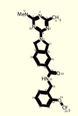 CNc1nc(C)nc(N2Cc3ccc(C(=O)NCc4ccccc4OC(F)(F)F)cc3C2)n1